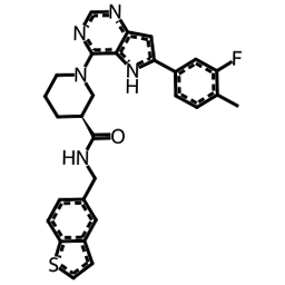 Cc1ccc(-c2cc3ncnc(N4CCC[C@H](C(=O)NCc5ccc6sccc6c5)C4)c3[nH]2)cc1F